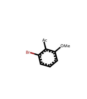 COc1cccc(Br)c1C(C)=O